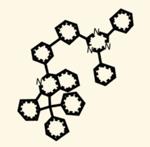 c1ccc(-c2nc(-c3ccccc3)nc(-c3cccc(-c4cccc(-c5nc6c(c7ccccc57)C(c5ccccc5)(c5ccccc5)c5ccccc5-6)c4)c3)n2)cc1